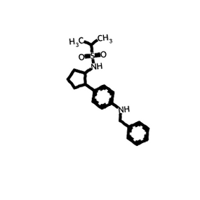 CC(C)S(=O)(=O)NC1CCCC1c1ccc(NCc2ccccc2)cc1